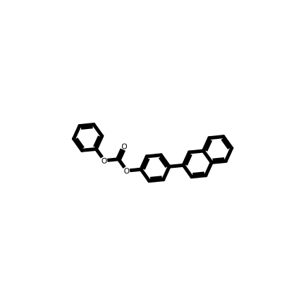 O=C(Oc1ccccc1)Oc1ccc(-c2ccc3ccccc3c2)cc1